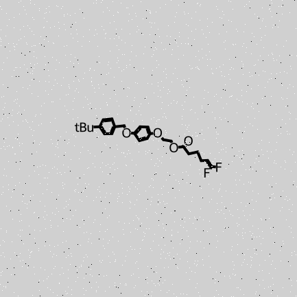 CC(C)(C)c1ccc(COc2ccc(OCCOC(=O)CCCC=C(F)F)cc2)cc1